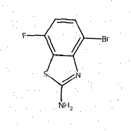 Nc1nc2c(Br)ccc(F)c2s1